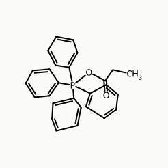 CCC(=O)OP(c1ccccc1)(c1ccccc1)(c1ccccc1)c1ccccc1